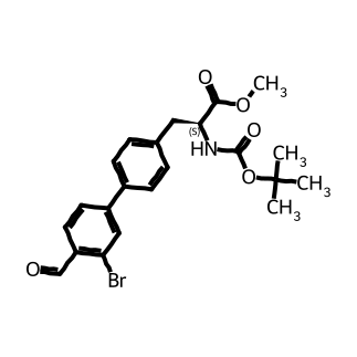 COC(=O)[C@H](Cc1ccc(-c2ccc(C=O)c(Br)c2)cc1)NC(=O)OC(C)(C)C